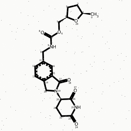 C[C@@H]1CC[C@H](COC(=O)NCc2ccc3c(c2)C(=O)N([C@@H]2CCC(=O)NC2=O)C3)O1